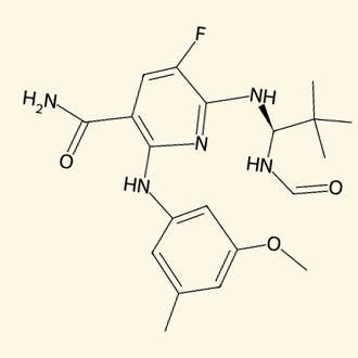 COc1cc(C)cc(Nc2nc(N[C@H](NC=O)C(C)(C)C)c(F)cc2C(N)=O)c1